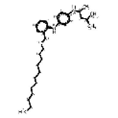 CCCCCCCCCCCCSCc1ccccc1Nc1ccc(NC(C)CC(C)C)cc1